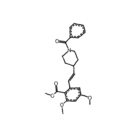 COC(=O)c1c(/C=C/C2CCN(C(=O)c3ccccc3)CC2)cc(OC)cc1OC